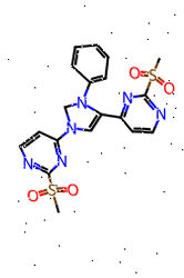 CS(=O)(=O)c1nccc(C2=CN(c3ccnc(S(C)(=O)=O)n3)CN2c2ccccc2)n1